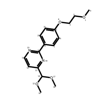 COCCOc1ccc(-c2nccc(C(OC)OC)n2)cc1